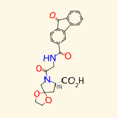 O=C(NCC(=O)N1CC2(C[C@H]1C(=O)O)OCCO2)c1ccc2c(c1)-c1ccccc1C2=O